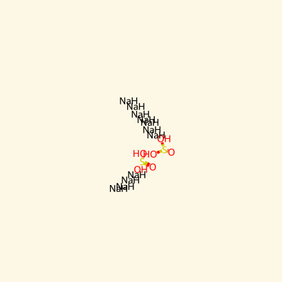 O=S(O)O.O=S(O)O.[NaH].[NaH].[NaH].[NaH].[NaH].[NaH].[NaH].[NaH].[NaH].[NaH].[NaH]